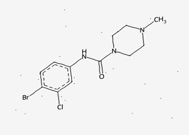 CN1CCN(C(=O)Nc2ccc(Br)c(Cl)c2)CC1